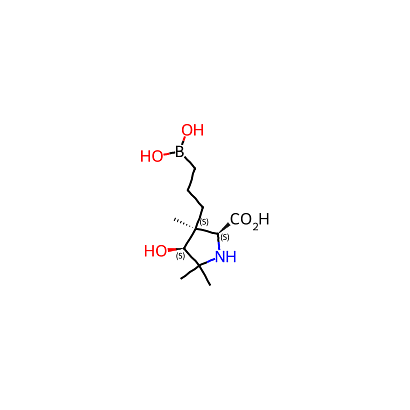 CC1(C)N[C@H](C(=O)O)[C@](C)(CCCB(O)O)[C@@H]1O